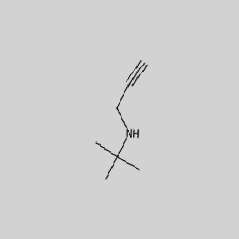 C#CCNC(C)(C)C